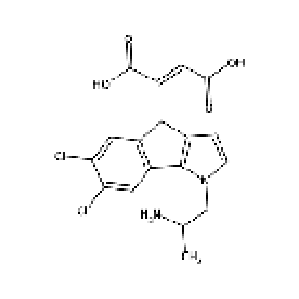 CC(N)Cn1ccc2c1-c1cc(Cl)c(Cl)cc1C2.O=C(O)C=CC(=O)O